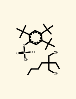 CC(C)(C)c1cc(C(C)(C)C)c(C(C)(C)C)cc1OP(=O)(O)O.CCCCC(CC)(CO)CO